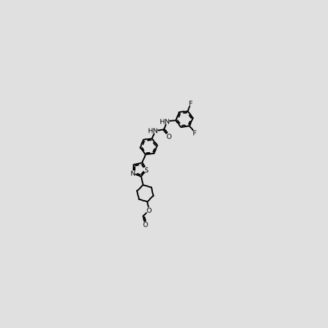 O=COC1CCC(c2ncc(-c3ccc(NC(=O)Nc4cc(F)cc(F)c4)cc3)s2)CC1